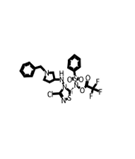 O=C(ON([C@@H]1SN=C(Cl)N1NC1CCN(Cc2ccccc2)C1)S(=O)(=O)c1ccccc1)C(F)(F)F